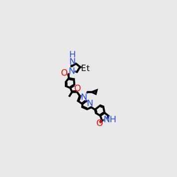 CCC1CN(C(=O)c2ccc3c(C)c(-c4cc5ccc(-c6ccc7c(c6)C(=O)NC7)nc5n4CC4CC4)oc3c2)C2NC12